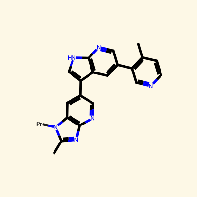 Cc1ccncc1-c1cnc2[nH]cc(-c3cnc4nc(C)n(C(C)C)c4c3)c2c1